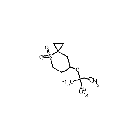 CC(C)(C)OC1CCS(=O)(=O)C2(CC2)C1